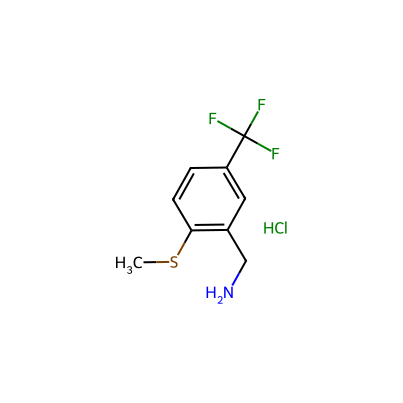 CSc1ccc(C(F)(F)F)cc1CN.Cl